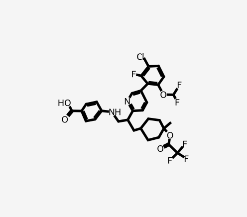 CC1(OC(=O)C(F)(F)F)CCC(CC(CNc2ccc(C(=O)O)cc2)c2ccc(-c3c(OC(F)F)ccc(Cl)c3F)cn2)CC1